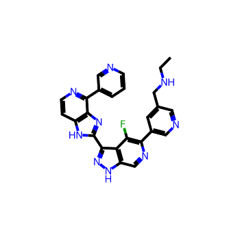 CCNCc1cncc(-c2ncc3[nH]nc(-c4nc5c(-c6cccnc6)nccc5[nH]4)c3c2F)c1